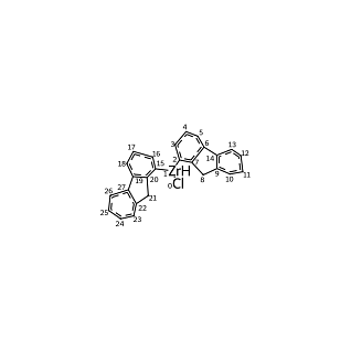 [Cl][ZrH]([c]1cccc2c1Cc1ccccc1-2)[c]1cccc2c1Cc1ccccc1-2